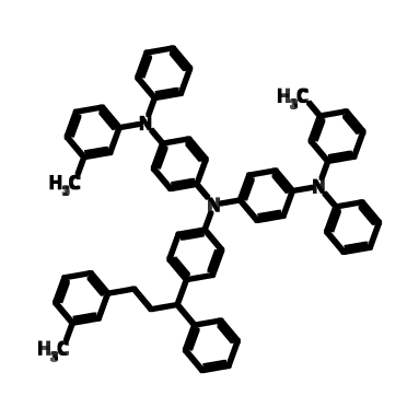 Cc1cccc(CCC(c2ccccc2)c2ccc(N(c3ccc(N(c4ccccc4)c4cccc(C)c4)cc3)c3ccc(N(c4ccccc4)c4cccc(C)c4)cc3)cc2)c1